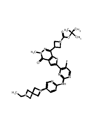 CCN1CC2(C1)CN(c1ccc(Nc3ncc(F)c(-c4cc5c(=O)n(C)nc(C6CN(C(=O)OC(C)(C)C)C6)c5s4)n3)nc1)C2